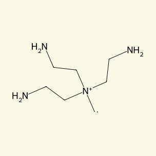 [CH2][N+](CCN)(CCN)CCN